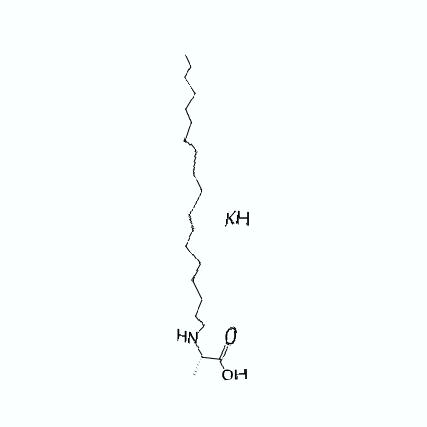 CCCCCCCCCCCCCCCCCCN[C@@H](C)C(=O)O.[KH]